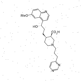 COc1ccc2nccc([C@@H](O)CC[C@@H]3CCN(CCCc4ccncn4)C[C@@H]3C(=O)O)c2c1